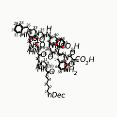 CCCCCCCCCCCCCCCC(=O)N[C@@H](C)CN(CC(=O)N[C@@H](C)CN(CC(=O)N[C@@H](Cc1ccccc1)CN(CC(=O)N[C@@H](Cc1ccccc1)CN(CC(=O)N[C@@H](Cc1ccccc1)CN(CC(N)=O)C(=O)CC(=O)O)C(=O)CC(=O)O)C(=O)CC(=O)O)C(C)=O)C(C)=O